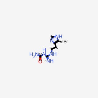 CCCc1[nH]cnc1CCNC(=N)NC(N)=O